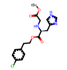 CC(C)(C)OC(=O)CN[C@@H](Cc1c[nH]cn1)C(=O)OCCc1ccc(Cl)cc1